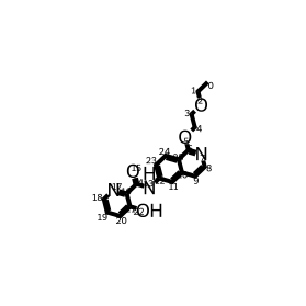 CCOCCOc1nccc2cc(NC(=O)c3ncccc3O)ccc12